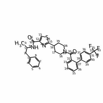 CC(Cc1ccccc1)NC(=O)c1csc(C2CCN(C(=O)c3ccccc3-c3ccc(C(F)(F)F)cc3)CC2)n1